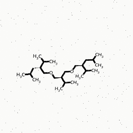 CC(C)C[C@@H](COC[C@@H](COC[C@@H](CC(C)C)C(C)C)C(C)C)C(C)C